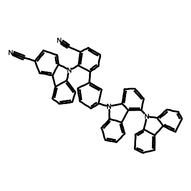 N#Cc1ccc2c(c1)c1ccccc1n2-c1c(C#N)cccc1-c1cccc(-n2c3ccccc3c3c(-n4c5ccccc5c5ccccc54)cccc32)c1